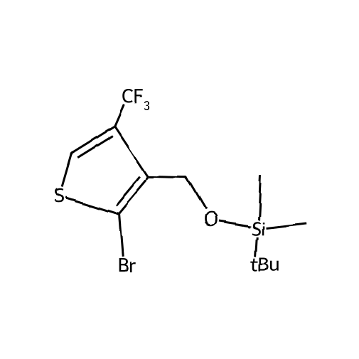 CC(C)(C)[Si](C)(C)OCc1c(C(F)(F)F)csc1Br